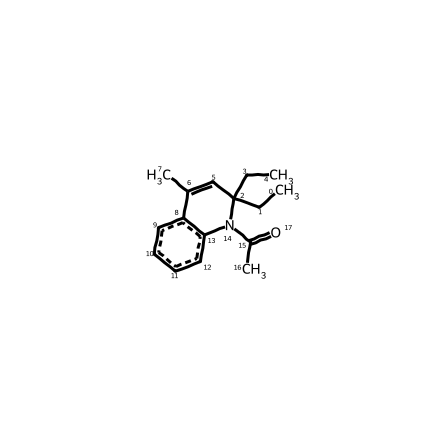 CCC1(CC)C=C(C)c2ccccc2N1C(C)=O